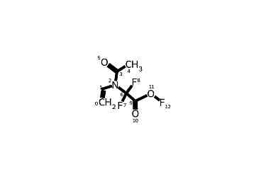 C=CN(C(C)=O)C(F)(F)C(=O)OF